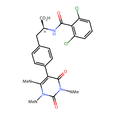 CNc1c(-c2ccc(C[C@H](NC(=O)c3c(Cl)cccc3Cl)C(=O)O)cc2)c(=O)n(NC)c(=O)n1NC